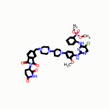 COc1cc(N2CCC(N3CCN(Cc4ccc5c(c4)C(=O)N(C4CCC(=O)NC4=O)C5=O)CC3)CC2)ccc1Nc1ncc(Cl)c(Nc2ccccc2P(=O)(OC)OC)n1